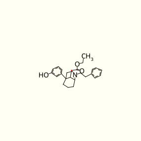 CCOC(=O)CC1C2CCCC1(c1cccc(O)c1)CCN2CCc1ccccc1